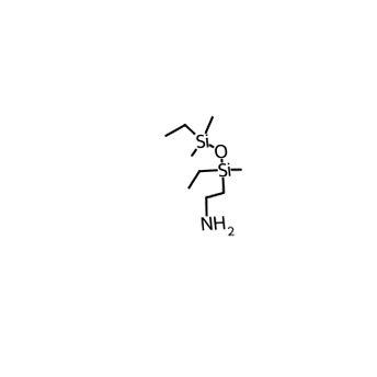 CC[Si](C)(C)O[Si](C)(CC)CCN